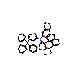 c1ccc(C2(c3ccccc3)c3ccccc3-c3c(N(c4ccc5ccccc5c4)c4ccccc4-c4cccc5cccc(C6CCCCC6)c45)cccc32)cc1